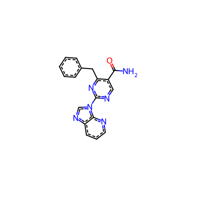 NC(=O)c1cnc(-n2cnc3cccnc32)nc1Cc1ccccc1